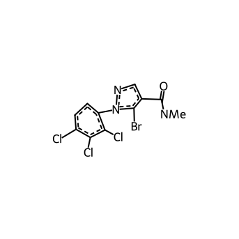 CNC(=O)c1cnn(-c2ccc(Cl)c(Cl)c2Cl)c1Br